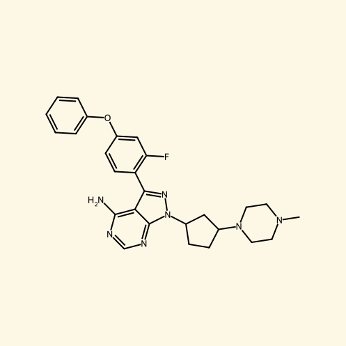 CN1CCN(C2CCC(n3nc(-c4ccc(Oc5ccccc5)cc4F)c4c(N)ncnc43)C2)CC1